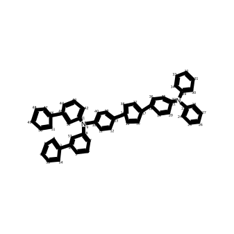 c1ccc(-c2cccc(N(c3ccc(-c4ccc(-c5ccc(N(c6ccccc6)c6ccccc6)cc5)cc4)cc3)c3cccc(-c4ccccc4)c3)c2)cc1